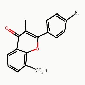 CCOC(=O)c1cccc2c(=O)c(C)c(-c3ccc(CC)cc3)oc12